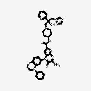 Nc1nc2sc(C(=O)NC3CCN(CC(O)(Cn4cncn4)c4ccccn4)CC3)cc2n(-c2ccc3c(c2)N(c2ccccc2)CCO3)c1=O